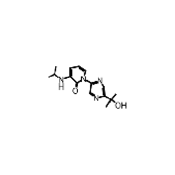 CC(C)Nc1cccn(-c2cnc(C(C)(C)O)cn2)c1=O